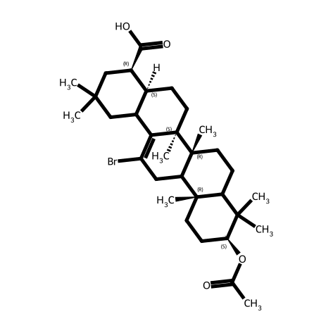 CC(=O)O[C@H]1CC[C@@]2(C)C(CC[C@]3(C)C2CC(Br)=C2C4CC(C)(C)C[C@@H](C(=O)O)[C@H]4CC[C@]23C)C1(C)C